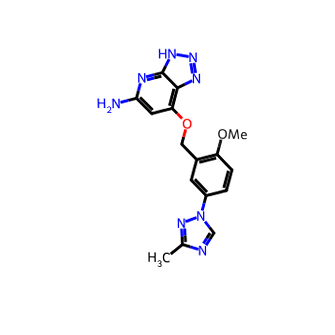 COc1ccc(-n2cnc(C)n2)cc1COc1cc(N)nc2[nH]nnc12